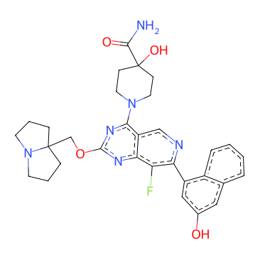 NC(=O)C1(O)CCN(c2nc(OCC34CCCN3CCC4)nc3c(F)c(-c4cc(O)cc5ccccc45)ncc23)CC1